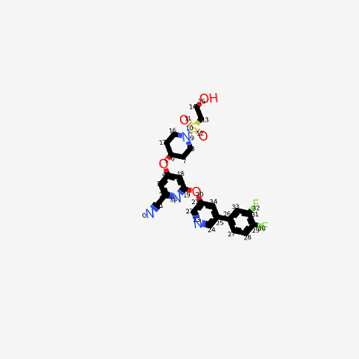 N#Cc1cc(OC2CCN(S(=O)(=O)CCO)CC2)cc(Oc2cncc(-c3ccc(F)c(F)c3)c2)n1